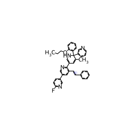 CCCOc1ccccc1C1(c2cccnc2)NC=C(c2ncc(-c3ccc(F)nc3)cc2/C=C/c2ccccc2)C=C1C